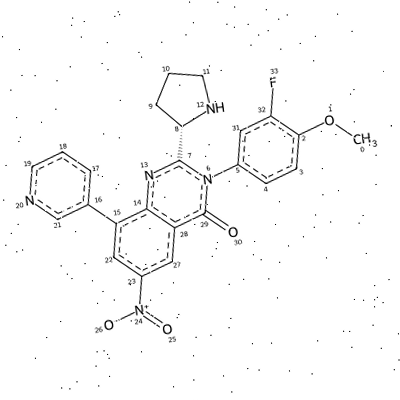 COc1ccc(-n2c([C@@H]3CCCN3)nc3c(-c4cccnc4)cc([N+](=O)[O-])cc3c2=O)cc1F